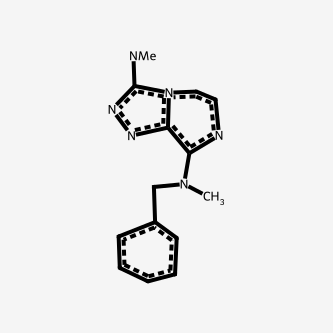 CNc1nnc2c(N(C)Cc3ccccc3)nccn12